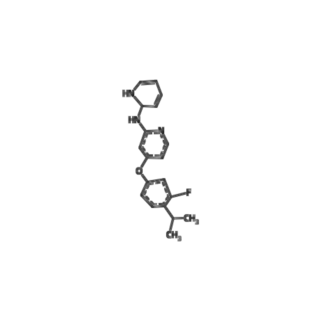 CC(C)c1ccc(Oc2ccnc(NC3C=CC=CN3)c2)cc1F